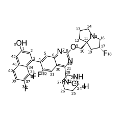 Oc1cc(-c2cc3nc(OC[C@@]45CCCN4C[C@H](F)C5)nc(N4C[C@@H]5CCC4CN5)c3cc2F)c2c(F)c(F)ccc2c1